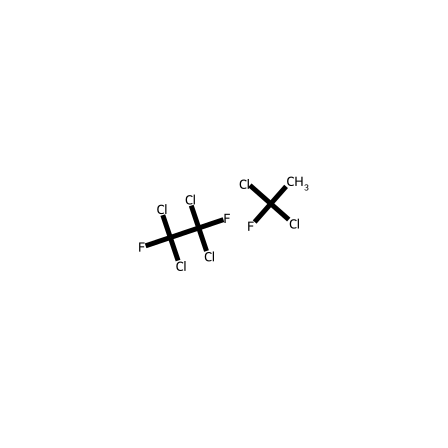 CC(F)(Cl)Cl.FC(Cl)(Cl)C(F)(Cl)Cl